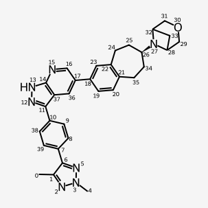 Cc1nn(C)nc1-c1ccc(-c2n[nH]c3ncc(-c4ccc5c(c4)CC[C@@H](N4C6COCC4C6)CC5)cc23)cc1